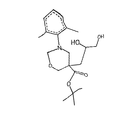 Cc1cccc(C)c1N1COCC(CC(O)CO)(C(=O)OC(C)(C)C)C1